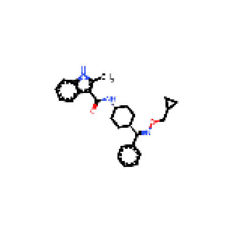 Cc1[nH]c2ccccc2c1C(=O)N[C@H]1CC[C@H](/C(=N\OCC2CC2)c2ccccc2)CC1